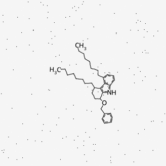 CCCCCCCCc1cccc2[nH]c3c(c12)C(CCCCCCCC)CCC3OCc1ccccc1